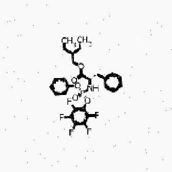 CCC(CC)COC(=O)[C@H](Cc1ccccc1)NP(=O)(Oc1ccccc1)Oc1c(F)c(F)c(F)c(F)c1F